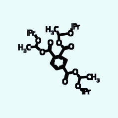 CC(C)OC(C)OC(=O)c1ccc(C(=O)OC(C)OC(C)C)c(C(=O)OC(C)OC(C)C)c1